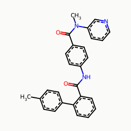 Cc1ccc(-c2ccccc2C(=O)Nc2ccc(C(=O)N(C)c3cccnc3)cc2)cc1